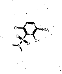 CN(C)S(=O)(=O)c1c(Cl)ccc([N+](=O)[O-])c1O